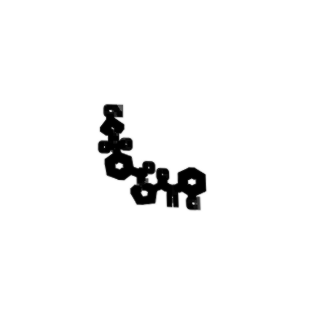 N#CC1CN(S(=O)(=O)c2cccc(C(=O)N3CCC[C@@H]3C(=O)Nc3ccccc3Cl)c2)C1